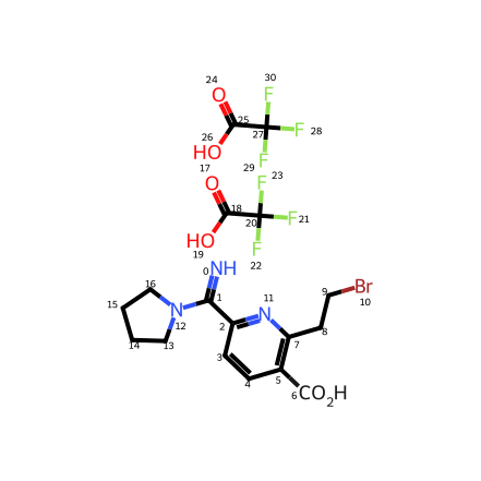 N=C(c1ccc(C(=O)O)c(CCBr)n1)N1CCCC1.O=C(O)C(F)(F)F.O=C(O)C(F)(F)F